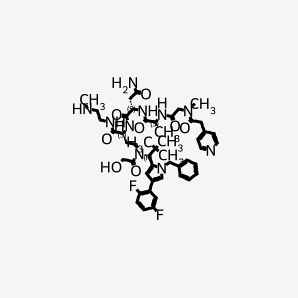 CNCCNC(=O)[C@H](CCN(C(=O)CO)[C@@H](c1cc(-c2cc(F)ccc2F)cn1Cc1ccccc1)C(C)(C)C)NC(=O)[C@H](CC(N)=O)NC(=O)[C@H](C)NC(=O)CN(C)C(=O)Cc1ccncc1